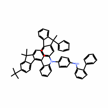 CC(C)(C)c1ccc2c(c1)C(C)(C)c1cccc(-c3ccccc3N(c3ccc(Nc4ccccc4-c4ccccc4)cc3)c3ccc4c(c3)C(C)(c3ccccc3)c3ccccc3-4)c1-2